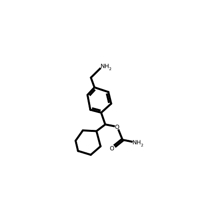 NCc1ccc(C(OC(N)=O)C2CCCCC2)cc1